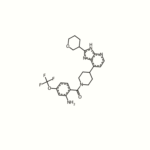 Nc1cc(OC(F)(F)F)ccc1C(=O)N1CCC(c2ccnc3[nH]c(C4CCCOC4)nc23)CC1